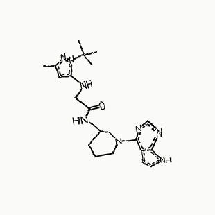 Cc1cc(NCC(=O)NC2CCCN(c3ncnc4[nH]ccc34)C2)n(C(C)(C)C)n1